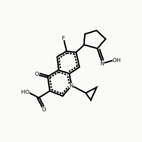 O=C(O)c1cn(C2CC2)c2cc(C3CCCC3=NO)c(F)cc2c1=O